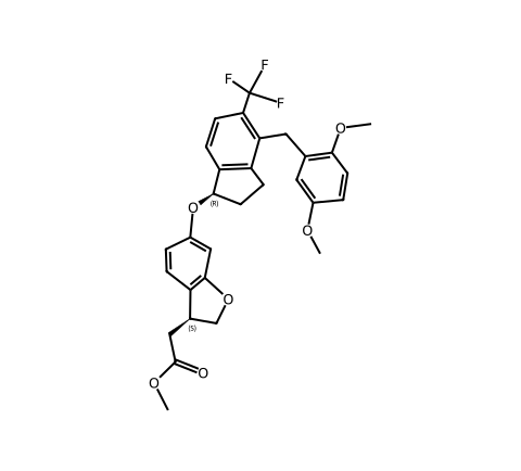 COC(=O)C[C@@H]1COc2cc(O[C@@H]3CCc4c3ccc(C(F)(F)F)c4Cc3cc(OC)ccc3OC)ccc21